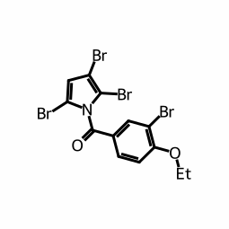 CCOc1ccc(C(=O)n2c(Br)cc(Br)c2Br)cc1Br